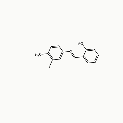 Cc1ccc(/N=C/c2ccccc2O)cc1I